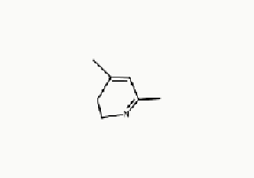 CC1=CC(C)=NCC1